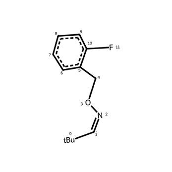 CC(C)(C)/[C]=N\OCc1ccccc1F